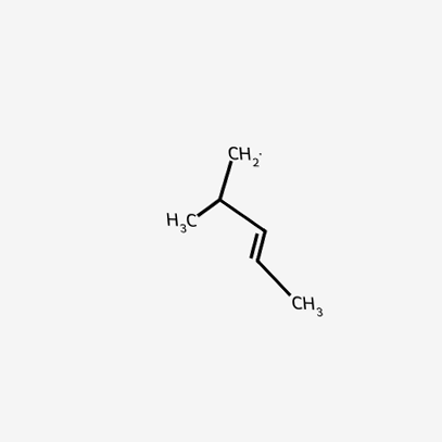 [CH2]C(C)/C=C/C